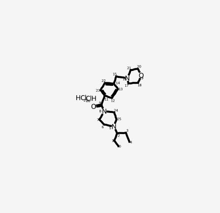 CCC(CC)N1CCN(C(=O)c2ccc(CN3CCOCC3)cc2)CC1.Cl.Cl